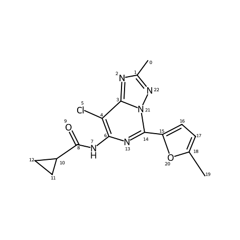 Cc1nc2c(Cl)c(NC(=O)C3CC3)nc(-c3ccc(C)o3)n2n1